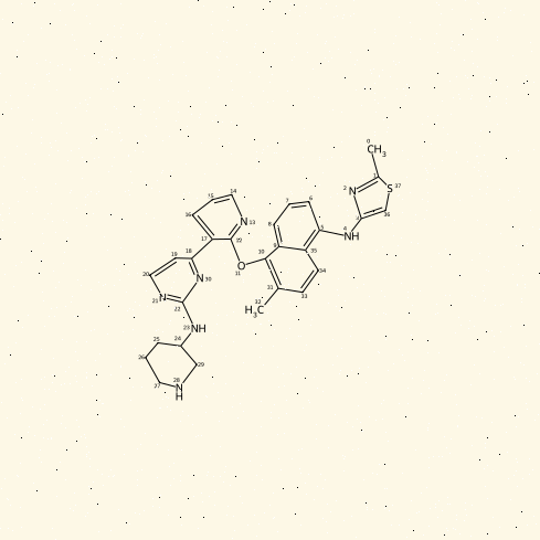 Cc1nc(Nc2cccc3c(Oc4ncccc4-c4ccnc(NC5CCCNC5)n4)c(C)ccc23)cs1